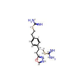 N=C(N)SCCc1ccc([C@H](CSC(=N)N)Cc2nnco2)cc1